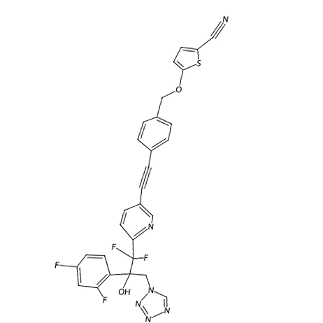 N#Cc1ccc(OCc2ccc(C#Cc3ccc(C(F)(F)C(O)(Cn4cnnn4)c4ccc(F)cc4F)nc3)cc2)s1